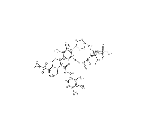 COC[C@H]1[C@@H](NS(=O)(=O)C2CC2)CCC(c2cc3c(c(C)c2C)C2CCC(CC2)OC[C@H]2C(NS(C)(=O)=O)CCCN2C(=O)CO3)N1C(=O)COc1ccc(C)c(C)c1C